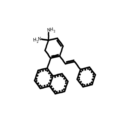 NC1(N)C=CC(C=Cc2ccccc2)=C(c2cccc3ccccc23)C1